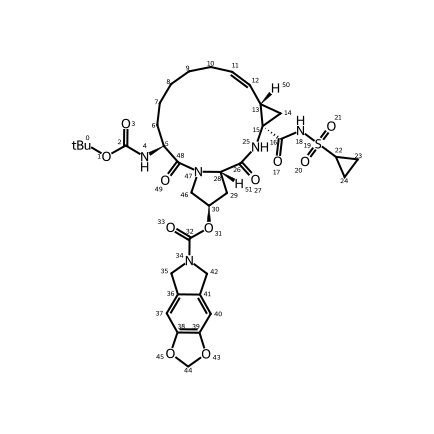 CC(C)(C)OC(=O)N[C@H]1CCCCC/C=C\[C@@H]2C[C@@]2(C(=O)NS(=O)(=O)C2CC2)NC(=O)[C@@H]2C[C@@H](OC(=O)N3Cc4cc5c(cc4C3)OCO5)CN2C1=O